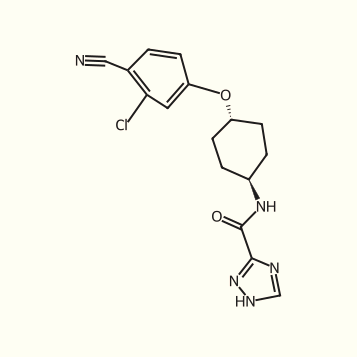 N#Cc1ccc(O[C@H]2CC[C@H](NC(=O)c3nc[nH]n3)CC2)cc1Cl